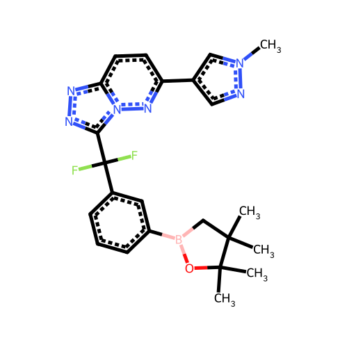 Cn1cc(-c2ccc3nnc(C(F)(F)c4cccc(B5CC(C)(C)C(C)(C)O5)c4)n3n2)cn1